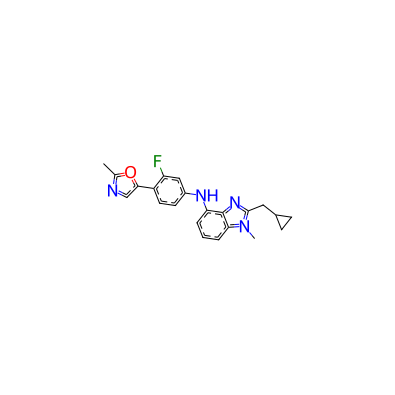 Cc1ncc(-c2ccc(Nc3cccc4c3nc(CC3CC3)n4C)cc2F)o1